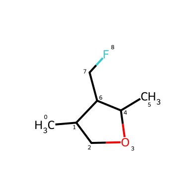 CC1COC(C)C1CF